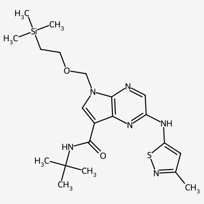 Cc1cc(Nc2cnc3c(n2)c(C(=O)NC(C)(C)C)cn3COCC[Si](C)(C)C)sn1